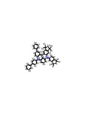 CC1(C)CC(C)(C)c2cc(N3c4cc5c(cc4B4c6cc(-c7ccccc7)ccc6N(c6ccc(-c7ccccc7)cc6)c6cccc3c64)C(C)(C)CC5(C)C)ccc21